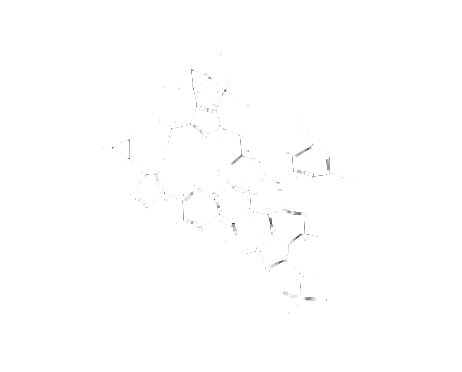 Cn1nc(NS(C)(=O)=O)c2c(Cl)ccc(-n3c([C@H](Cc4cc(F)cc(F)c4)NC(=O)Cn4nc(C(F)F)c5c4C(F)(F)[C@@H]4C[C@H]54)nc4nc(-c5cnn(C6CC6)c5)ccc4c3=O)c21